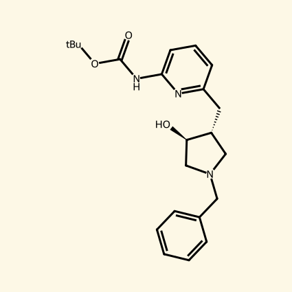 CC(C)(C)OC(=O)Nc1cccc(C[C@@H]2CN(Cc3ccccc3)C[C@H]2O)n1